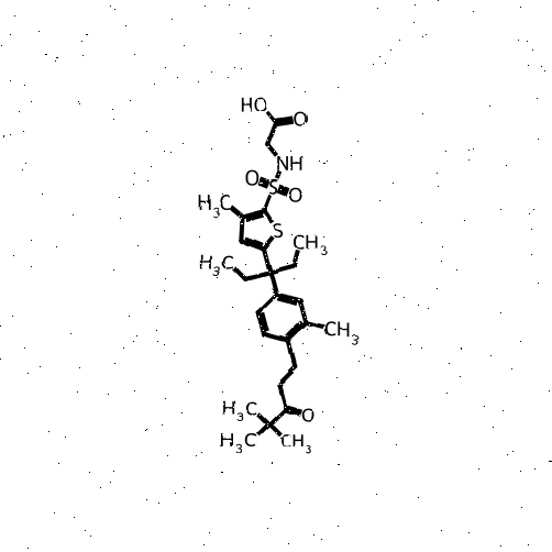 CCC(CC)(c1ccc(CCC(=O)C(C)(C)C)c(C)c1)c1cc(C)c(S(=O)(=O)NCC(=O)O)s1